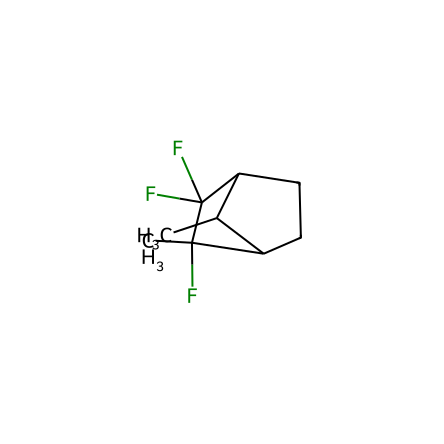 CC1C2CCC1C(F)(F)C2(C)F